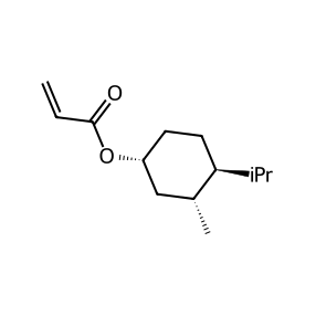 C=CC(=O)O[C@@H]1CC[C@@H](C(C)C)[C@H](C)C1